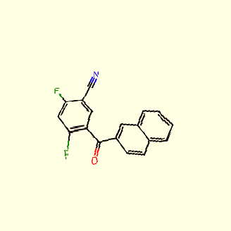 N#Cc1cc(C(=O)c2ccc3ccccc3c2)c(F)cc1F